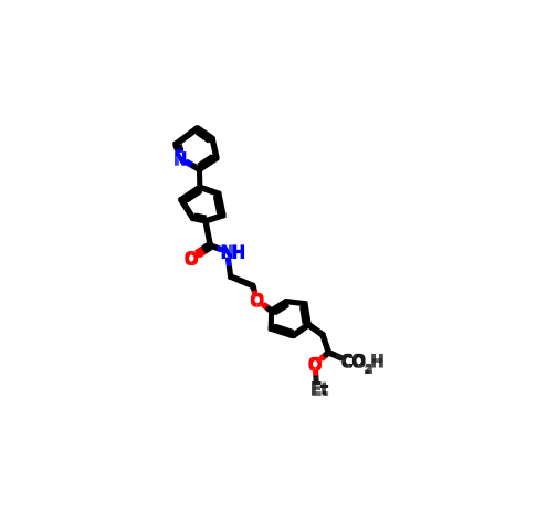 CCOC(Cc1ccc(OCCNC(=O)c2ccc(-c3ccccn3)cc2)cc1)C(=O)O